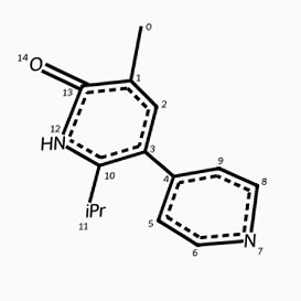 Cc1cc(-c2ccncc2)c(C(C)C)[nH]c1=O